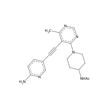 CC(=O)NC1CCN(c2ncnc(C)c2C#Cc2ccc(N)nc2)CC1